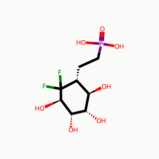 O=P(O)(O)CC[C@@H]1[C@@H](O)[C@H](O)[C@H](O)[C@@H](O)C1(F)F